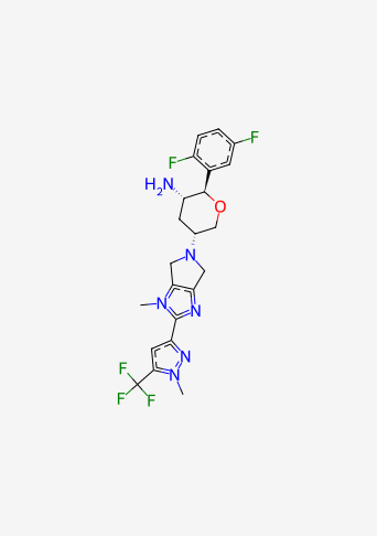 Cn1nc(-c2nc3c(n2C)CN([C@H]2CO[C@H](c4cc(F)ccc4F)[C@@H](N)C2)C3)cc1C(F)(F)F